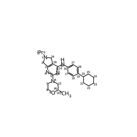 CC(C)N1Cc2nc(N3CCO[C@H](C)C3)nc(Nc3ccc(C4CCCCC4)cc3)c2C1